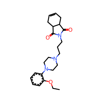 CCOc1ccccc1N1CCN(CCCN2C(=O)C3CC=CCC3C2=O)CC1